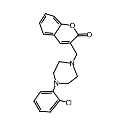 O=c1oc2ccccc2cc1CN1CCN(c2ccccc2Cl)CC1